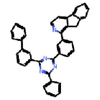 c1ccc(-c2cccc(-c3nc(-c4ccccc4)nc(-c4cccc(-c5nccc6c5Cc5ccccc5-6)c4)n3)c2)cc1